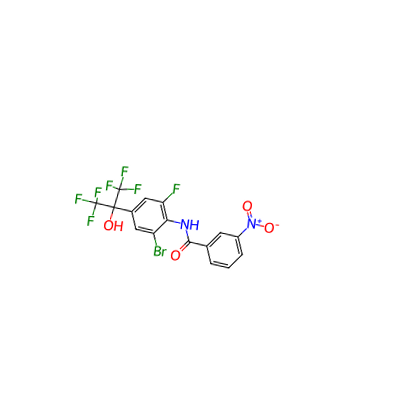 O=C(Nc1c(F)cc(C(O)(C(F)(F)F)C(F)(F)F)cc1Br)c1cccc([N+](=O)[O-])c1